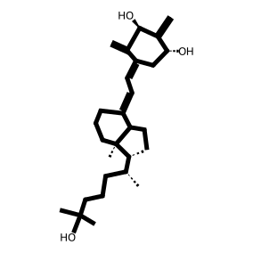 C=C1/C(=C/C=C2CCC[C@@]3(C)C2CC[C@@H]3[C@H](C)CCCC(C)(C)O)C[C@@H](O)C(=C)[C@@H]1O